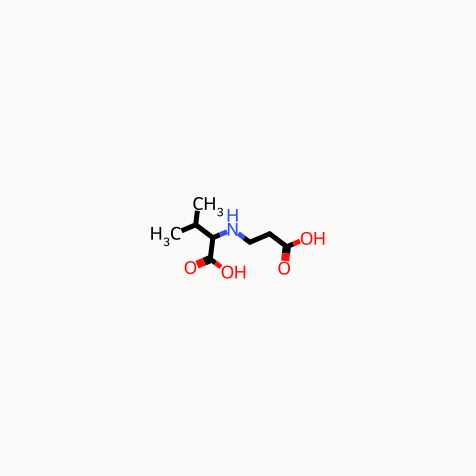 CC(C)C(NCCC(=O)O)C(=O)O